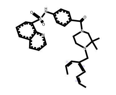 C\C=C/C=C(\C=C/C)CN1CCN(C(=O)c2ccc(NS(=O)(=O)c3cccc4cccnc34)cc2)CC1(C)C